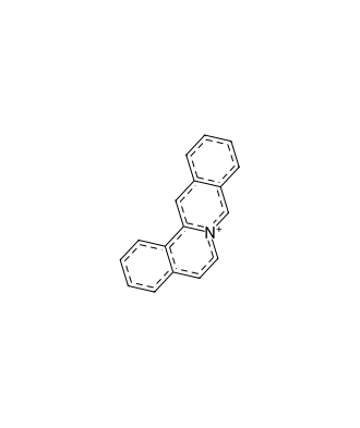 c1ccc2c[n+]3ccc4ccccc4c3cc2c1